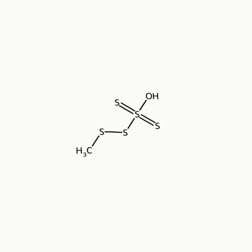 CSSS(O)(=S)=S